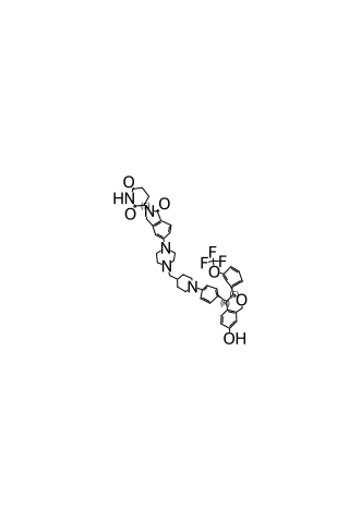 O=C1CC[C@H](N2Cc3cc(N4CCN(CC5CCN(c6ccc([C@@H]7c8ccc(O)cc8CO[C@@H]7c7cccc(OC(F)(F)F)c7)cc6)CC5)CC4)ccc3C2=O)C(=O)N1